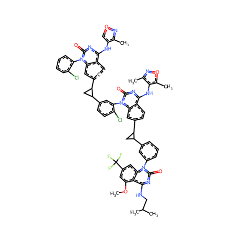 COc1cc(C(F)(F)F)cc2c1c(NCC(C)C)nc(=O)n2-c1cccc(C2CC2c2ccc3c(Nc4c(C)noc4C)nc(=O)n(-c4cc(C5CC5c5ccc6c(Nc7conc7C)nc(=O)n(-c7ccccc7Cl)c6c5)ccc4Cl)c3c2)c1